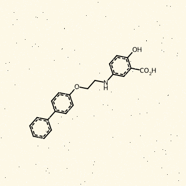 O=C(O)c1cc(NCCOc2ccc(-c3ccccc3)cc2)ccc1O